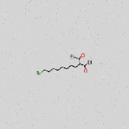 CCC(=O)C(CCCCCCCCBr)C(=O)CC